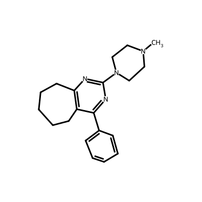 CN1CCN(c2nc3c(c(-c4ccccc4)n2)CCCCC3)CC1